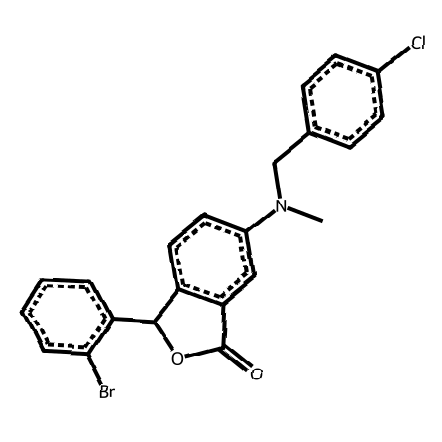 CN(Cc1ccc(Cl)cc1)c1ccc2c(c1)C(=O)OC2c1ccccc1Br